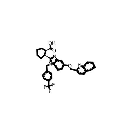 O=C(O)[C@@H]1CCCC[C@@H]1c1nc2cc(OCc3ccc4ccccc4n3)ccc2n1Cc1ccc(C(F)(F)F)cc1